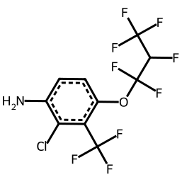 Nc1ccc(OC(F)(F)C(F)C(F)(F)F)c(C(F)(F)F)c1Cl